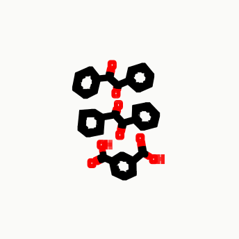 O=C(C(=O)c1ccccc1)c1ccccc1.O=C(C(=O)c1ccccc1)c1ccccc1.O=C(O)c1cccc(C(=O)O)c1